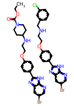 CCOC(=O)N1CCC(NCCOc2ccc(-c3nc4cc(Br)cnc4[nH]3)cc2)CC1.Clc1cccc(CNCCOc2ccc(-c3nc4cc(Br)cnc4[nH]3)cc2)c1